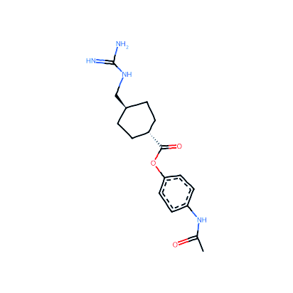 CC(=O)Nc1ccc(OC(=O)[C@H]2CC[C@H](CNC(=N)N)CC2)cc1